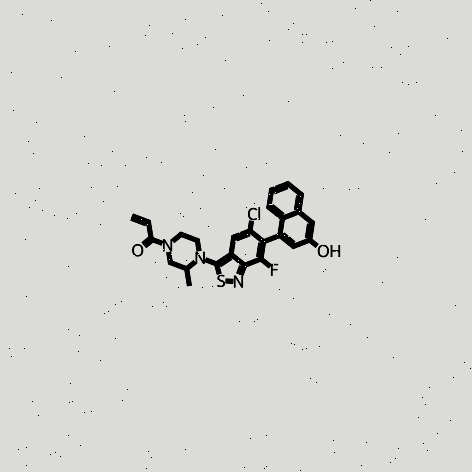 C=CC(=O)N1CCN(c2snc3c(F)c(-c4cc(O)cc5ccccc45)c(Cl)cc23)C(C)C1